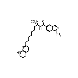 Cn1ncc2cc(C(=O)NC(CCCCCCCc3ccc4c(n3)NCCC4)C(=O)O)ccc21